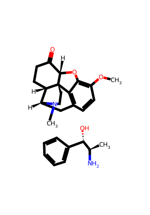 COc1ccc2c3c1O[C@H]1C(=O)CC[C@H]4[C@@H](C2)N(C)CC[C@]314.C[C@@H](N)[C@@H](O)c1ccccc1